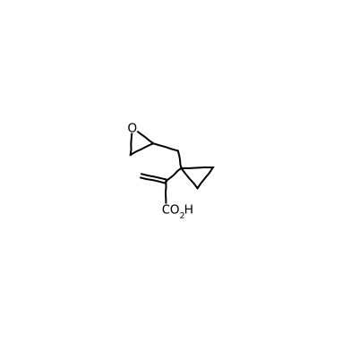 C=C(C(=O)O)C1(CC2CO2)CC1